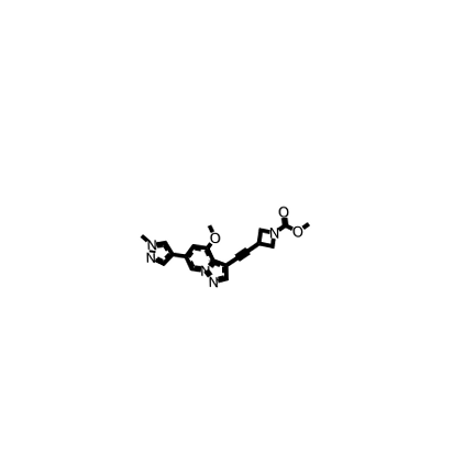 COC(=O)N1CC(C#Cc2cnn3cc(-c4cnn(C)c4)cc(OC)c23)C1